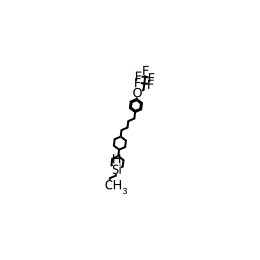 CCC[SiH]1CCC(C2CCC(CCCCc3ccc(OCC(F)(F)C(F)(F)F)cc3)CC2)CC1